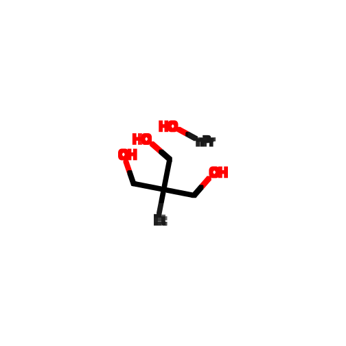 CCC(CO)(CO)CO.CCCO